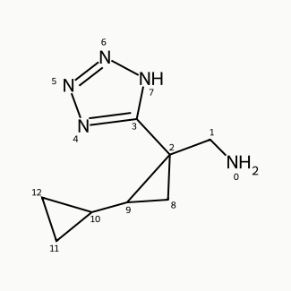 NCC1(c2nnn[nH]2)CC1C1CC1